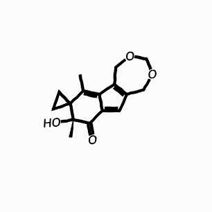 CC1=C2C(=CC3=C2COCOC3)C(=O)[C@](C)(O)C12CC2